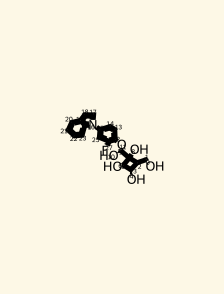 OCC1[C@@H](O)C(O)C1(O)[C@H](O)Oc1ccc(-n2ccc3ccccc32)cc1F